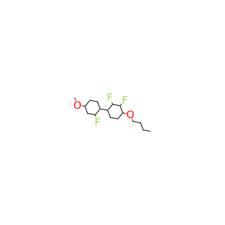 CCCCOC1CCC(C2CCC(OC)CC2F)C(F)C1F